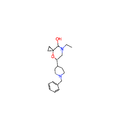 CCN1CC(C2CCN(Cc3ccccc3)CC2)OC2(CC2)C1O